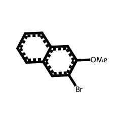 COc1cc2ccccc2cc1Br